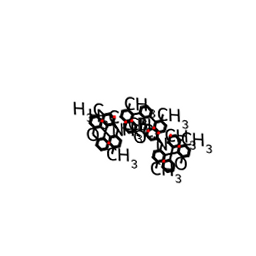 Cc1cc(C)c(-c2cccc(-c3c(C)cc(C)cc3C)c2B2c3ccc(N4c5ccc(C)cc5C5(c6ccccc6Oc6ccccc65)c5cc(C)ccc54)cc3Oc3cc(N4c5ccc(C)cc5C5(c6ccccc6Oc6ccccc65)c5cc(C)ccc54)ccc32)c(C)c1